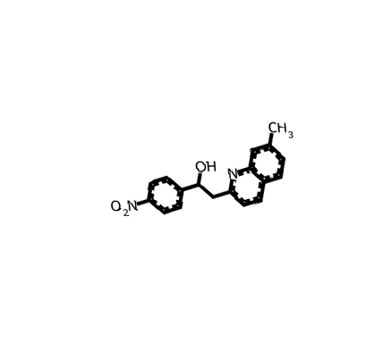 Cc1ccc2ccc(CC(O)c3ccc([N+](=O)[O-])cc3)nc2c1